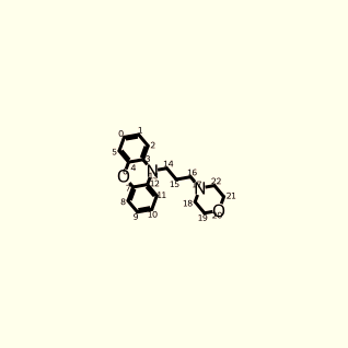 c1ccc2c(c1)Oc1ccccc1N2CCCN1CCOCC1